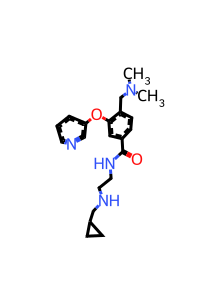 CN(C)Cc1ccc(C(=O)NCCNCC2CC2)cc1Oc1cccnc1